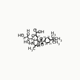 CC(=O)N[C@H]1[C@H]([C@H](O)[C@H](O)CO)OC(C(=O)O)=C[C@@H]1NS(=O)(=O)c1ccc(C(C)(C)C)cc1